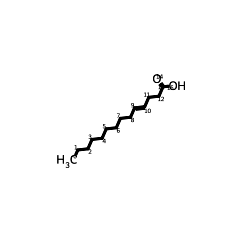 CCCCCCCCC/C=C/CCC(=O)O